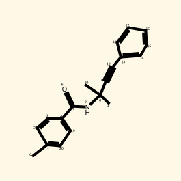 Cc1ccc(C(=O)NC(C)(C)C#Cc2ccccc2)cc1